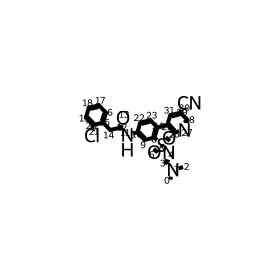 CN(C)C=NS(=O)(=O)c1cc(NC(=O)Cc2ccccc2Cl)ccc1-c1cncc(C#N)c1